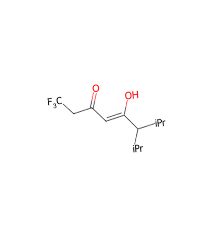 CC(C)C(/C(O)=C/C(=O)CC(F)(F)F)C(C)C